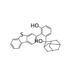 Oc1cccc(C2(O)C3CC4CC(C3)CC2C4)c1-c1ccc2c(c1)sc1ccccc12